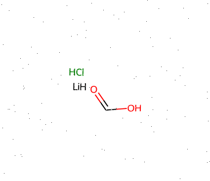 Cl.O=CO.[LiH]